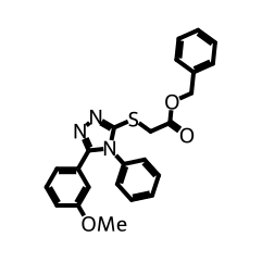 COc1cccc(-c2nnc(SCC(=O)OCc3ccccc3)n2-c2ccccc2)c1